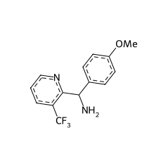 COc1ccc(C(N)c2ncccc2C(F)(F)F)cc1